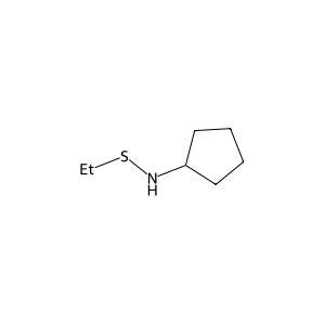 CCSNC1CCCC1